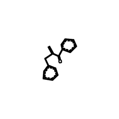 C=C(Cc1ccccc1)C(=O)c1ccccc1